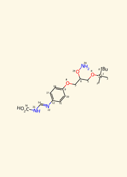 CC(C)(C)[Si](C)(C)OCC(COc1ccc(/N=C/NC(=O)O)cc1)ON